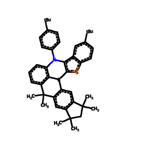 CC(C)(C)c1ccc(N2c3cccc4c3B(c3cc5c(cc3C4(C)C)C(C)(C)CC5(C)C)c3sc4ccc(C(C)(C)C)cc4c32)cc1